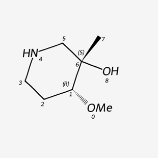 CO[C@@H]1CCNC[C@]1(C)O